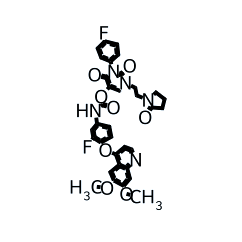 COc1cc2nccc(Oc3ccc(NC(=O)Oc4cn(CCN5CCCC5=O)c(=O)n(-c5ccc(F)cc5)c4=O)cc3F)c2cc1OC